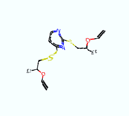 C=COC(CC)CSc1ccnc(SCC(CC)OC=C)n1